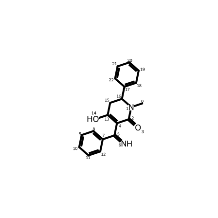 CN1C(=O)C(C(=N)c2ccccc2)=C(O)CC1c1ccccc1